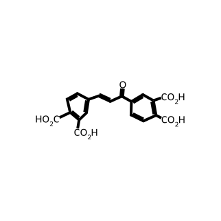 O=C(C=Cc1ccc(C(=O)O)c(C(=O)O)c1)c1ccc(C(=O)O)c(C(=O)O)c1